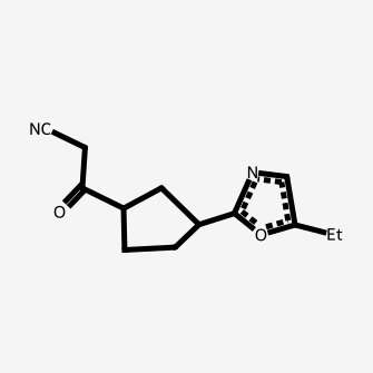 CCc1cnc(C2CCC(C(=O)CC#N)C2)o1